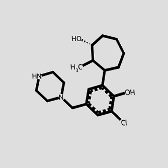 CC1C(c2cc(CN3CCNCC3)cc(Cl)c2O)CCCC[C@H]1O